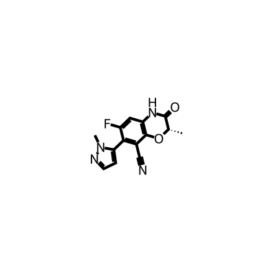 C[C@@H]1Oc2c(cc(F)c(-c3ccnn3C)c2C#N)NC1=O